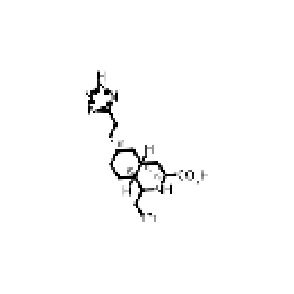 CC(C)CC1N[C@H](C(=O)O)C[C@H]2C[C@@H](CCc3nn[nH]n3)CC[C@@H]12